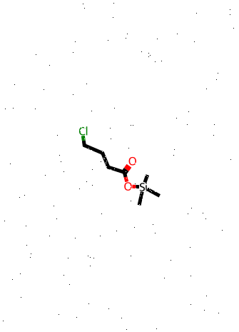 C[Si](C)(C)OC(=O)CCCCl